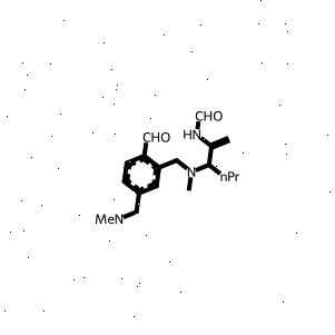 C=C(NC=O)C(CCC)N(C)Cc1cc(CNC)ccc1C=O